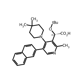 Cc1ncc(-c2ccc3ccccc3c2)c(N2CCC(C)(C)CC2)c1[C@H](OC(C)(C)C)C(=O)O